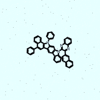 c1ccc(-c2cc3c4cc5c6ccccc6n(-c6nc7ccccc7nc6-c6ccc7ccccc7c6)c5cc4n(-c4ccccc4)c3c3ccccc23)cc1